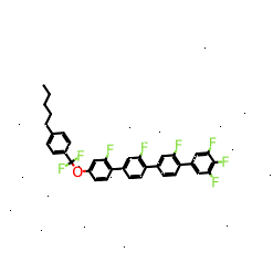 CCCCCc1ccc(C(F)(F)Oc2ccc(-c3ccc(-c4ccc(-c5cc(F)c(F)c(F)c5)c(F)c4)c(F)c3)c(F)c2)cc1